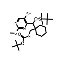 CSc1ncc(S)c(C(O[Si](C)(C)C(C)(C)C)C2(CNC(=O)OC(C)(C)C)CCCCC2)n1